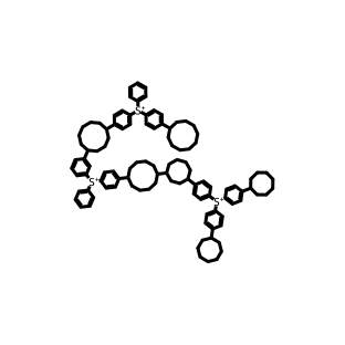 c1ccc([S+](c2ccc(C3CCCCCCCCC3)cc2)c2ccc(C3CCCCCC(c4cccc([S+](c5ccccc5)c5ccc(C6CCCCC(C7CCCCC(c8ccc([S+](c9ccc(C%10CCCCCCC%10)cc9)c9ccc(C%10CCCCCCC%10)cc9)cc8)CC7)CCCC6)cc5)c4)CCC3)cc2)cc1